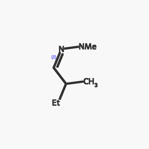 CCC(C)/C=N\NC